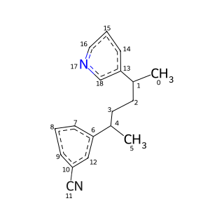 CC(CCC(C)c1cccc(C#N)c1)c1cccnc1